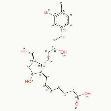 B=C[C@@H]1CC(O)[C@H](C/C=C\CCCC(=O)O)[C@H]1/C=C/[C@@H](O)CCc1ccc(C)c(Br)c1